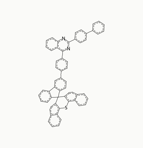 c1ccc(-c2ccc(-c3nc(-c4ccc(-c5ccc6c(c5)-c5ccccc5C65c6ccc7ccccc7c6Sc6c5ccc5ccccc65)cc4)c4ccccc4n3)cc2)cc1